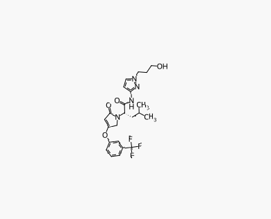 CC(C)C[C@@H](C(=O)Nc1ccn(CCCO)n1)N1CC(Oc2cccc(C(F)(F)F)c2)=CC1=O